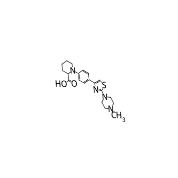 CN1CCN(c2nc(-c3ccc(N4CCCCC4C(=O)O)cc3)cs2)CC1